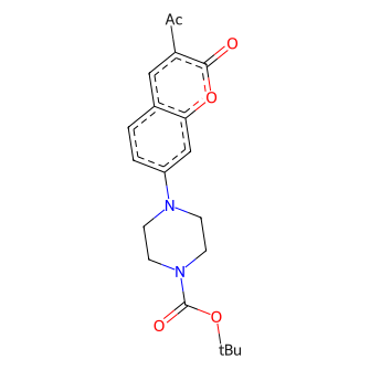 CC(=O)c1cc2ccc(N3CCN(C(=O)OC(C)(C)C)CC3)cc2oc1=O